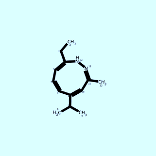 CCc1cccc(C(C)C)cc(C)n[nH]1